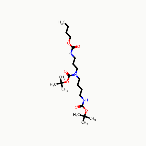 CCCCOC(=O)[N]CCCN(CCCCNC(=O)OC(C)(C)C)C(=O)OC(C)(C)C